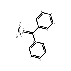 C=C(c1ccccc1)c1ccccc1.CC(C)=O